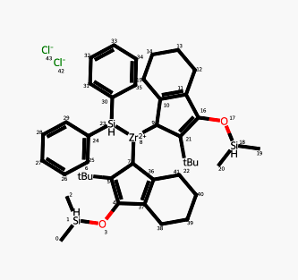 C[SiH](C)OC1=C(C(C)(C)C)[CH]([Zr+2]([CH]2C3=C(CCCC3)C(O[SiH](C)C)=C2C(C)(C)C)[SiH](c2ccccc2)c2ccccc2)C2=C1CCCC2.[Cl-].[Cl-]